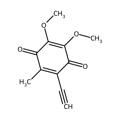 C#CC1=C(C)C(=O)C(OC)=C(OC)C1=O